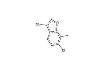 Cc1c(Cl)ccc2c(C(C)(C)C)coc12